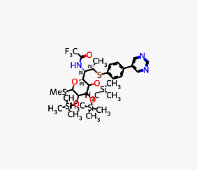 CSC1O[C@H]([C@H](NC(=O)C(F)(F)F)[C@H](C)Sc2ccc(-c3cncnc3)cc2)C(O[Si](C)(C)C)C(O[Si](C)(C)C)C1O[Si](C)(C)C